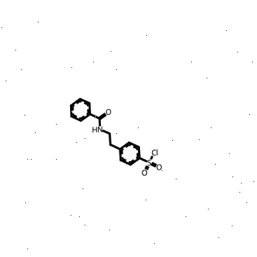 O=C(NCCc1ccc(S(=O)(=O)Cl)cc1)c1ccccc1